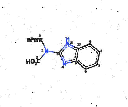 CCCCCN(C(=O)O)c1nc2ccccc2[nH]1